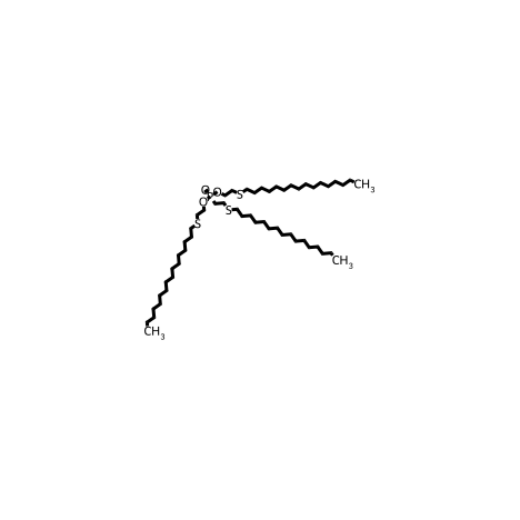 CCCCCCCCCCCCCCCCSCCOP(=O)(CCSCCCCCCCCCCCCCCCC)OCCSCCCCCCCCCCCCCCCC